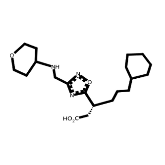 O=C(O)C[C@@H](CCCC1CCCCC1)c1nc(CNC2CCOCC2)no1